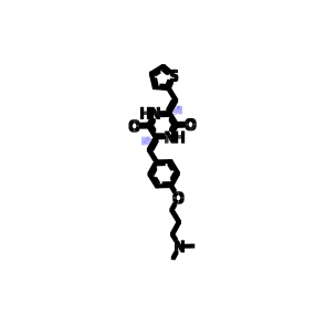 CN(C)CCCOc1ccc(/C=c2\[nH]c(=O)/c(=C/c3cccs3)[nH]c2=O)cc1